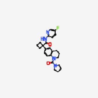 O=C(N1CCCC1)N1CCCc2cc(C3(C(=O)Nc4ccc(F)cn4)CCC3)ccc21